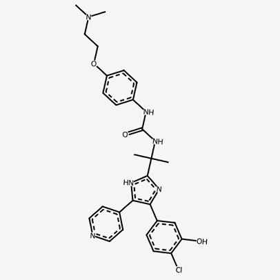 CN(C)CCOc1ccc(NC(=O)NC(C)(C)c2nc(-c3ccc(Cl)c(O)c3)c(-c3ccncc3)[nH]2)cc1